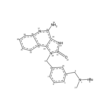 CCCCN(C)Cc1cccc(Cn2c(=O)[nH]c3c(N)nc4ccccc4c32)c1